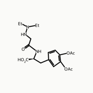 CCN(CC)NCC(=O)N[C@@H](Cc1ccc(OC(C)=O)c(OC(C)=O)c1)C(=O)O